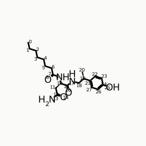 CCCCCCCC(=O)N[C@H](CC(N)=O)C(=O)NC[C@@H](C)c1ccc(O)cc1